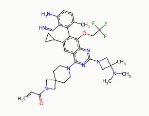 C=CC(=O)N1CC2(CCN(c3nc(N4CC(C)(N(C)C)C4)nc4c(OCC(F)(F)F)c(-c5c(C)ccc(N)c5C=N)c(C5CC5)cc34)CC2)C1